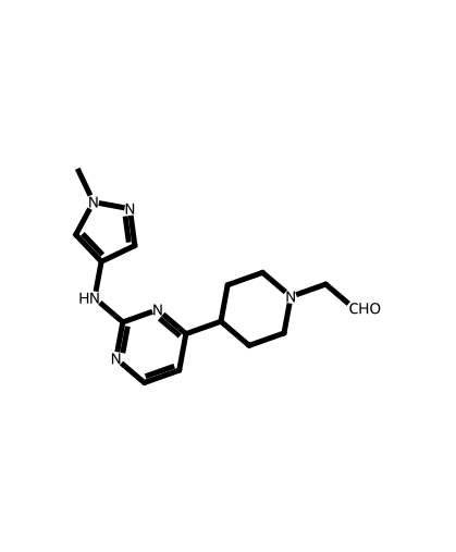 Cn1cc(Nc2nccc(C3CCN(CC=O)CC3)n2)cn1